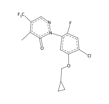 Cc1c(C(F)(F)F)cnn(-c2cc(OCC3CC3)c(Cl)cc2F)c1=O